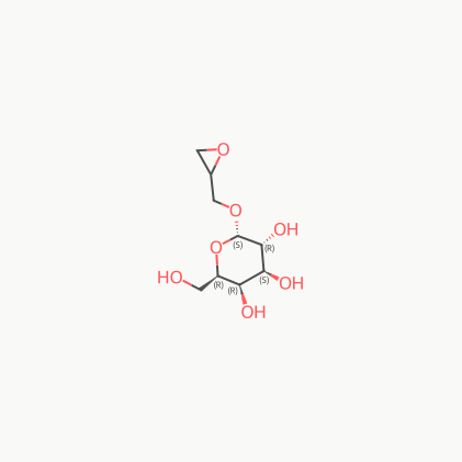 OC[C@H]1O[C@H](OCC2CO2)[C@H](O)[C@@H](O)[C@H]1O